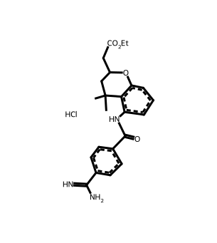 CCOC(=O)CC1CC(C)(C)c2c(NC(=O)c3ccc(C(=N)N)cc3)cccc2O1.Cl